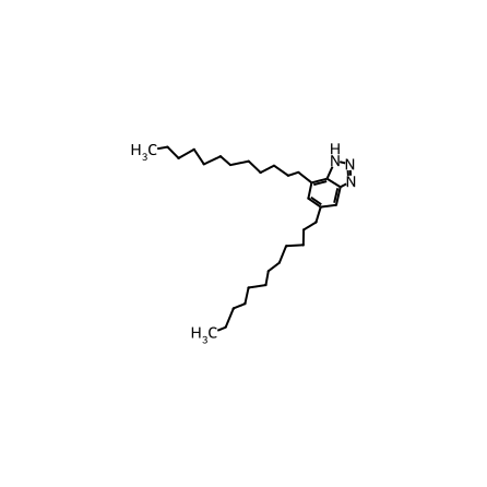 CCCCCCCCCCCCc1cc(CCCCCCCCCCCC)c2[nH]nnc2c1